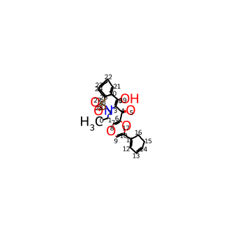 CCN1C(C(=O)C2=COC=C(C3=CC=CCC3)O2)=C(O)c2ccccc2S1(=O)=O